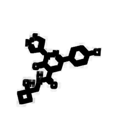 O=C(NCC1(O)CCC1)c1cc(-c2ccc(Cl)cc2)nn(-c2cnsc2)c1=O